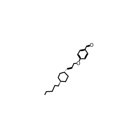 CCCCC[C@H]1CC[C@H](C=CCOc2ccc(C=O)cc2)CC1